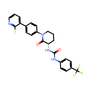 O=C(Nc1ccc(C(F)(F)F)cc1)N[C@H]1CCCN(c2ccc(-c3cccnc3F)cc2)C1=O